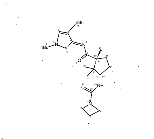 CCCCc1cn(C(C)(C)C)sc1=NC(=O)[C@]1(C)CC[C@H](NC(=O)N2CCC2)C1(C)C